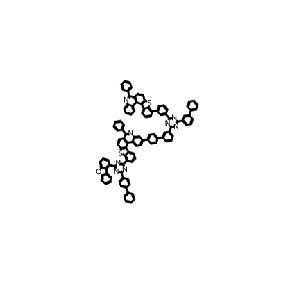 c1ccc(-c2ccc(-c3nc(-c4cccc5c4sc4ccc6c(-c7ccccc7)nc7cc(-c8ccc(-c9cccc(-c%10nc(-c%11cccc(-c%12ccccc%12)c%11)nc(-c%11cccc(-c%12cccc%13c%12sc%12ccc%14c(-c%15ccccc%15)nc%15ccccc%15c%14c%12%13)c%11)n%10)c9)cc8)ccc7c6c45)nc(-c4cccc5oc6ccccc6c45)n3)cc2)cc1